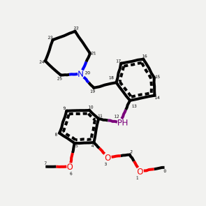 COCOc1c(OC)cccc1Pc1ccccc1CN1CCCCC1